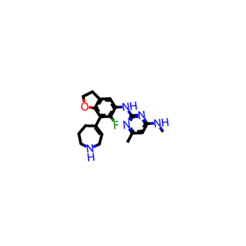 CNc1cc(C)nc(Nc2cc3c(c(C4=CCNCCC4)c2F)OCC3)n1